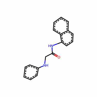 O=C(CNc1ccccc1)Nc1cccc2ccccc12